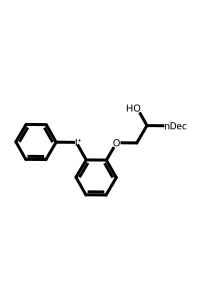 CCCCCCCCCCC(O)COc1ccccc1[I+]c1ccccc1